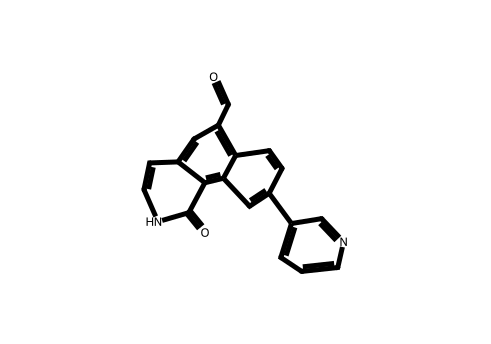 O=Cc1cc2cc[nH]c(=O)c2c2cc(-c3cccnc3)ccc12